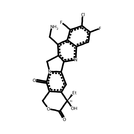 CC[C@@]1(O)C(=O)OCc2c1cc1n(c2=O)Cc2c-1nc1cc(F)c(Cl)c(F)c1c2CN